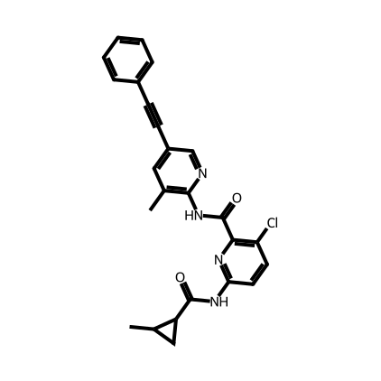 Cc1cc(C#Cc2ccccc2)cnc1NC(=O)c1nc(NC(=O)C2CC2C)ccc1Cl